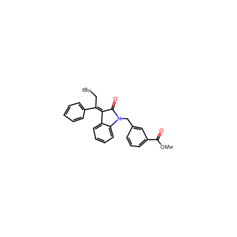 COC(=O)c1cccc(CN2C(=O)/C(=C(\CC(C)(C)C)c3ccccc3)c3ccccc32)c1